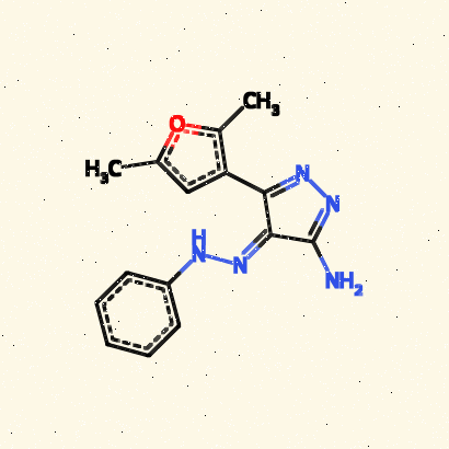 Cc1cc(C2=NN=C(N)/C2=N/Nc2ccccc2)c(C)o1